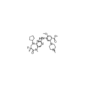 COC(=O)c1cc(OC)c(Nc2ncc3c(n2)N(C2CCCC2)CC(F)(F)C(=O)N3C)cc1N1CCN(C)CC1